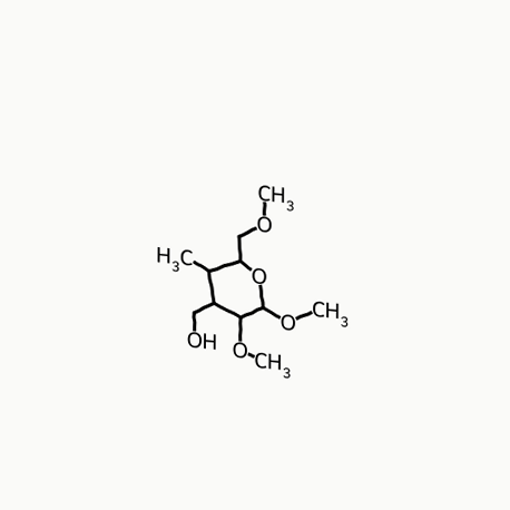 COCC1OC(OC)C(OC)C(CO)C1C